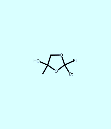 CCC1(CC)OCC(C)(O)O1